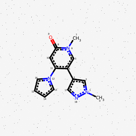 Cn1cc(-c2cn(C)c(=O)cc2-n2cccc2)cn1